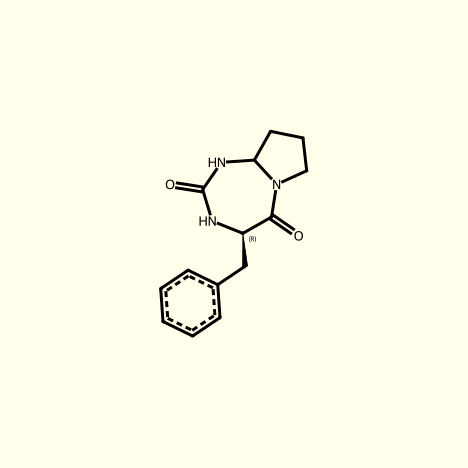 O=C1NC2CCCN2C(=O)[C@@H](Cc2ccccc2)N1